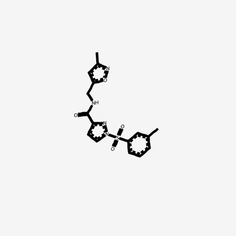 Cc1cccc(S(=O)(=O)n2ccc(C(=O)NCc3cc(C)no3)n2)c1